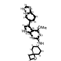 COc1nc(N[C@H]2CC[C@@]3(CCO3)CC2)nc2[nH]cc(-c3ccc4ncnn4c3)c12